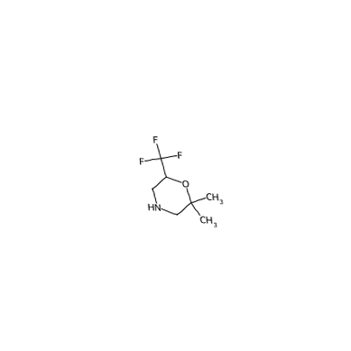 CC1(C)CNCC(C(F)(F)F)O1